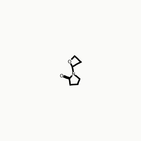 O=C1CCCN1C1CCO1